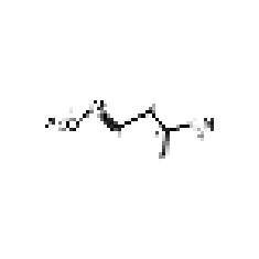 CC(=O)ON=CCC(C)C#N